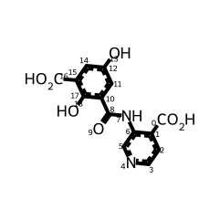 O=C(O)c1ccncc1NC(=O)c1cc(O)cc(C(=O)O)c1O